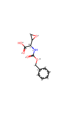 O=C(N[C@@H](C(=O)O)C1CO1)OCc1ccccc1